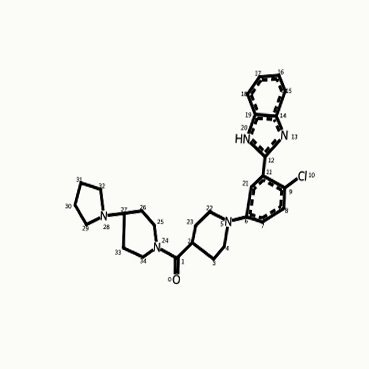 O=C(C1CCN(c2ccc(Cl)c(-c3nc4ccccc4[nH]3)c2)CC1)N1CCC(N2CCCC2)CC1